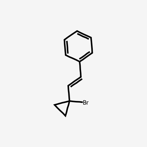 BrC1(C=Cc2ccccc2)CC1